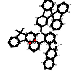 CC1(C)c2ccccc2-c2ccc(N(C3=CCC4C(=C3)C3(c5ccccc5-c5ccccc53)c3ccccc34)c3ccc4oc5cc6ccccc6cc5c4c3-c3ccccc3)cc21